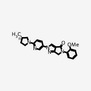 COc1ccccc1N1Cc2nn(-c3ccc(N4CC[C@H](C)C4)nc3)cc2C1=O